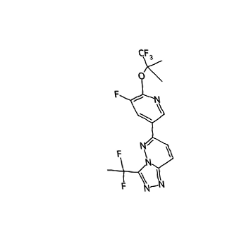 CC(F)(F)c1nnc2ccc(-c3cnc(OC(C)(C)C(F)(F)F)c(F)c3)nn12